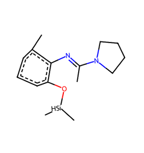 CC(=Nc1c(C)cccc1O[SiH](C)C)N1CCCC1